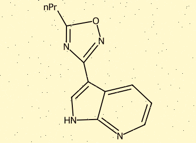 CCCc1nc(-c2c[nH]c3ncccc23)no1